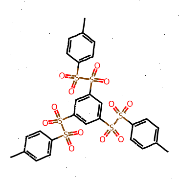 Cc1ccc(S(=O)(=O)S(=O)(=O)c2cc(S(=O)(=O)S(=O)(=O)c3ccc(C)cc3)cc(S(=O)(=O)S(=O)(=O)c3ccc(C)cc3)c2)cc1